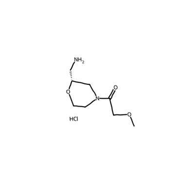 COCC(=O)N1CCO[C@H](CN)C1.Cl